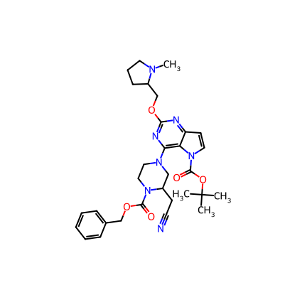 CN1CCCC1COc1nc(N2CCN(C(=O)OCc3ccccc3)C(CC#N)C2)c2c(ccn2C(=O)OC(C)(C)C)n1